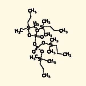 CCC[Si](C)(C)OP(=O)(O[Si](C)(C)CCC)OP(=O)(O[Si](C)(C)CCC)O[Si](C)(C)CCC